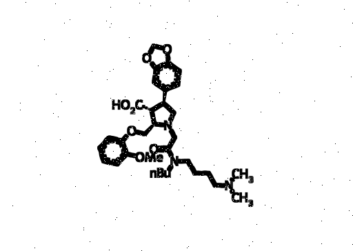 CCCCN(CCCCN(C)C)C(=O)CN1C[C@H](c2ccc3c(c2)OCO3)[C@@H](C(=O)O)[C@@H]1COc1ccccc1OC